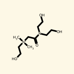 C[N+](C)(CCO)CC(=O)N(CCO)CCO